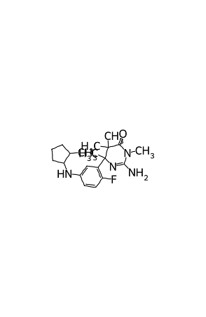 CC1CCCC1Nc1ccc(F)c(C2(C)N=C(N)N(C)C(=O)C2(C)C)c1